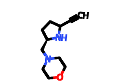 C#CC1CC[C@H](CN2CCOCC2)N1